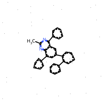 Cc1nc(-c2ccccc2)c2cc(-c3ccccc3-c3ccccc3)cc(-c3ccccc3)c2n1